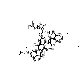 Cc1cc(N)nc(-c2c(Cl)c3c4c(nc(OC[C@@H]5CCN5CC(F)F)nc4c2F)N([C@H](C)c2ccnnc2N)CCO3)c1C(F)(F)F